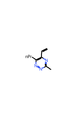 C=Cc1nc(C)nnc1CCC